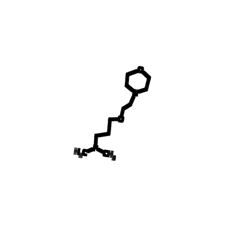 CP(C)CCCOCCN1CCOCC1